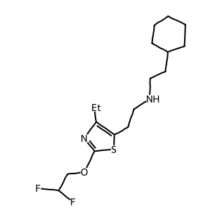 CCc1nc(OCC(F)F)sc1CCNCCC1CCCCC1